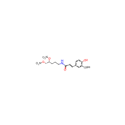 COc1cc(/C=C/C(=O)NCCCC(CO[N+](=O)[O-])O[N+](=O)[O-])ccc1O